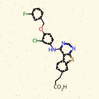 O=C(O)CCc1ccc2c(c1)sc1ncnc(Nc3ccc(OCc4cccc(F)c4)c(Cl)c3)c12